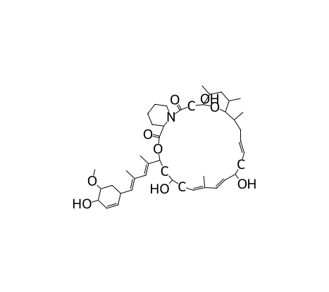 COC1CC(/C=C(C)/C=C(\C)C2CC(O)C/C=C(C)/C=C/C(O)C/C=C/CC(C)C3OC(O)(CC(=O)N4CCCCC4C(=O)O2)C(C)CC3C)C=CC1O